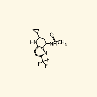 CC(=O)NC1CC(C2CC2)Nc2ccc(C(F)(F)F)nc21